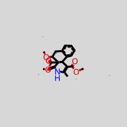 C=C1NC(C)=C(C(=O)OC)C2c3ccccc3CC(OC)C12C(=O)OC